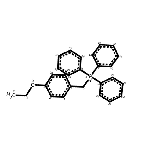 CCOc1ccc(C[PH](c2ccccc2)(c2ccccc2)c2ccccc2)cc1